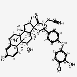 C[C@@H]1C[C@H]2[C@@H]3CCC4=CC(=O)C=C[C@]4(C)[C@@]3(F)[C@@H](O)C[C@]2(C)[C@@]1(OC(=O)c1ccc(Sc2ccc(Cl)c(O)c2)cc1)C(=O)OCC#N